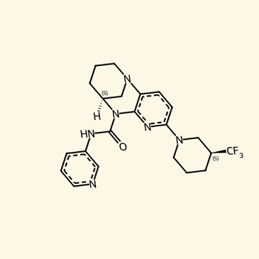 O=C(Nc1cccnc1)N1c2nc(N3CCC[C@H](C(F)(F)F)C3)ccc2N2CCC[C@H]1C2